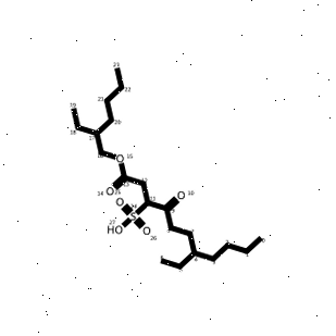 CCCCC(CC)CCC(=O)C(CC(=O)OCC(CC)CCCC)S(=O)(=O)O